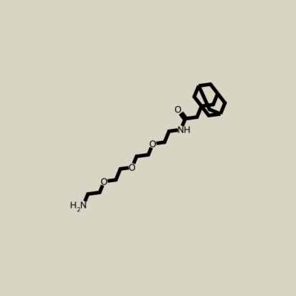 NCCOCCOCCOCCNC(=O)CC12CC3CC(CC(C3)C1)C2